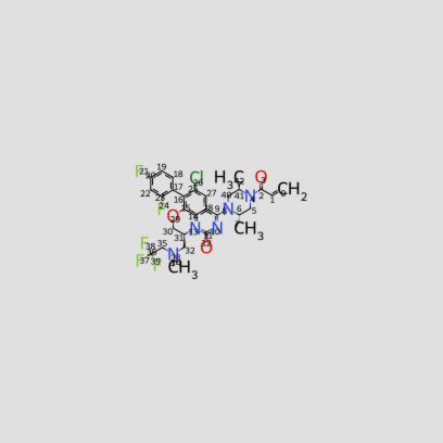 C=CC(=O)N1C[C@H](C)N(c2nc(=O)n3c4c(c(-c5ccc(F)cc5F)c(Cl)cc24)OC[C@@H]3CN(C)CC(F)(F)F)C[C@H]1C